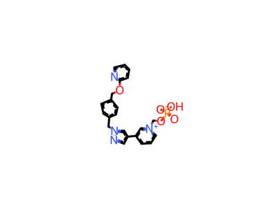 O=P([O-])(O)OC[n+]1cccc(-c2cnn(Cc3ccc(COc4ccccn4)cc3)c2)c1